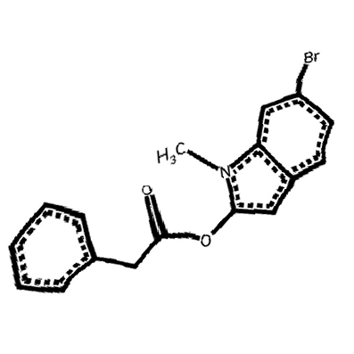 Cn1c(OC(=O)Cc2ccccc2)cc2ccc(Br)cc21